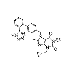 CCn1c(=O)c2c(nc(C)n2Cc2ccc(-c3ccccc3-c3nnn[nH]3)cc2)n(CC2CC2)c1=O